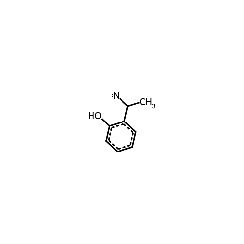 CC([N])c1ccccc1O